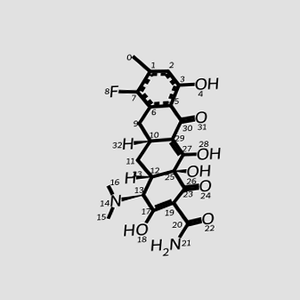 Cc1cc(O)c2c(c1F)C[C@H]1C[C@H]3[C@H](N(C)C)C(O)=C(C(N)=O)C(=O)[C@@]3(O)C(O)=C1C2=O